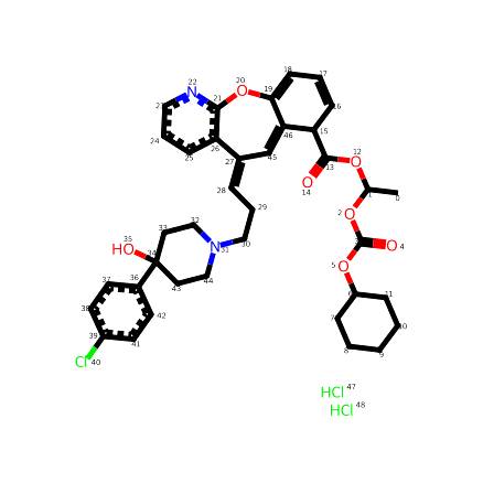 CC(OC(=O)OC1CCCCC1)OC(=O)C1C=CC=C2Oc3ncccc3C(=CCCN3CCC(O)(c4ccc(Cl)cc4)CC3)C=C21.Cl.Cl